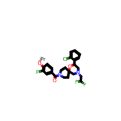 CC(C)Oc1ccc(C(=O)N2CCC3(CC2)CN(CC(F)F)CC(c2ccccc2Cl)O3)cc1F